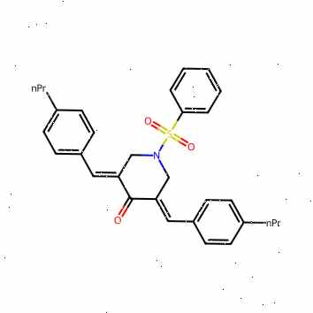 CCCc1ccc(/C=C2\CN(S(=O)(=O)c3ccccc3)C/C(=C\c3ccc(CCC)cc3)C2=O)cc1